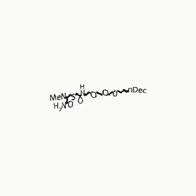 CCCCCCCCCCCCCCOCCOCCOCCNC(=O)CSCC(NC)C(N)=O